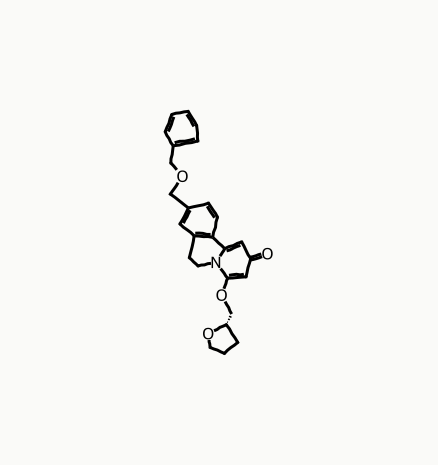 O=c1cc(OC[C@@H]2CCCO2)n2c(c1)-c1ccc(COCc3ccccc3)cc1CC2